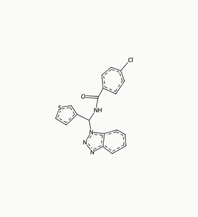 O=C(NC(c1ccsc1)n1nnc2ccccc21)c1ccc(Cl)cc1